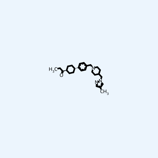 CCC(=O)[C@H]1CC[C@H](c2ccc(CN3CCC(Cn4cc(C)cn4)CC3)cc2)CC1